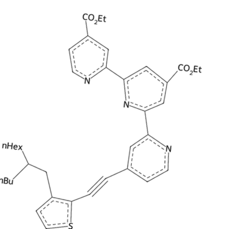 CCCCCCC(CCCC)Cc1ccsc1C#Cc1ccnc(-c2cc(C(=O)OCC)cc(-c3cc(C(=O)OCC)ccn3)n2)c1